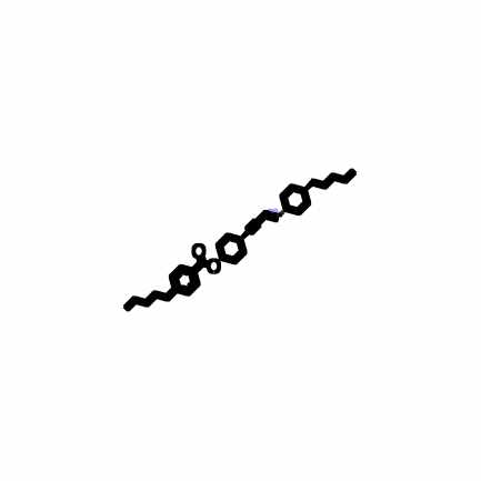 CCCCCc1ccc(C(=O)O[C@H]2CC[C@H](C#C/C=C/[C@H]3CC[C@H](CCCCC)CC3)CC2)cc1